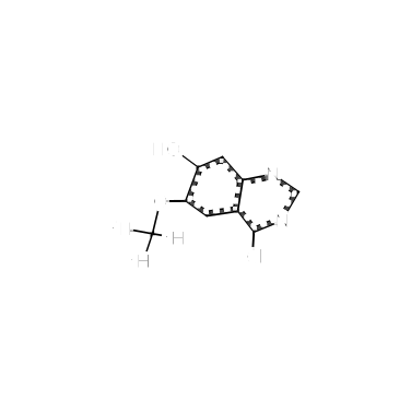 [2H]C([2H])([2H])Oc1cc2c(Cl)ncnc2cc1O